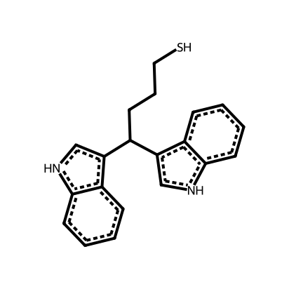 SCCCC(c1c[nH]c2ccccc12)c1c[nH]c2ccccc12